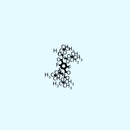 CC(C)(C)OC(=O)N(C(=O)OC(C)(C)C)C(=O)c1cc(F)c(C(=O)N(C(=O)OC(C)(C)C)C(=O)OC(C)(C)C)c(F)c1F